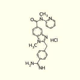 CN(C(=O)c1ccc2c(c1)nc(Cc1ccc(C(=N)N)cc1)n2C)c1ccccn1.Cl